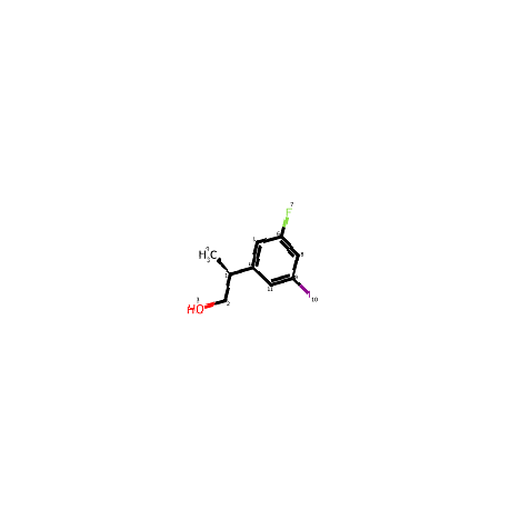 C[C@H](CO)c1cc(F)cc(I)c1